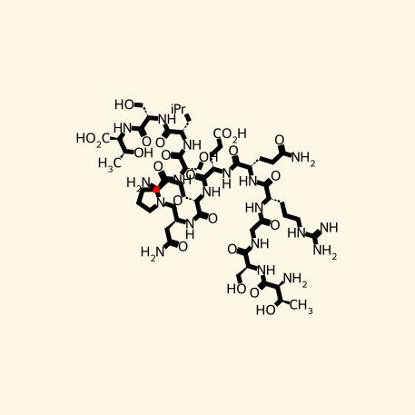 CC(C)C[C@H](NC(=O)[C@H](CO)NC(=O)[C@@H]1CCCN1C(=O)[C@H](CC(N)=O)NC(=O)[C@H](CCCCN)NC(=O)[C@H](CCC(=O)O)NC(=O)[C@H](CCC(N)=O)NC(=O)[C@H](CCCNC(=N)N)NC(=O)CNC(=O)[C@H](CO)NC(=O)[C@@H](N)[C@@H](C)O)C(=O)N[C@@H](CO)C(=O)N[C@H](C(=O)O)[C@@H](C)O